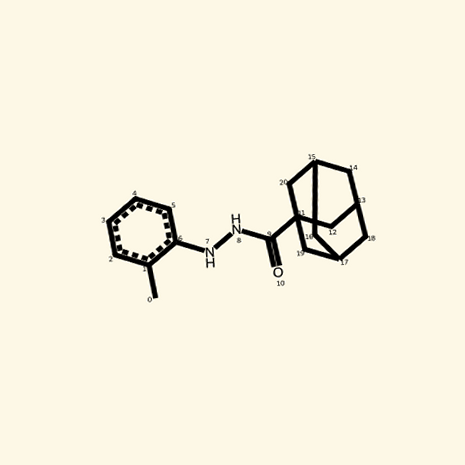 Cc1ccccc1NNC(=O)C12CC3CC(CC(C3)C1)C2